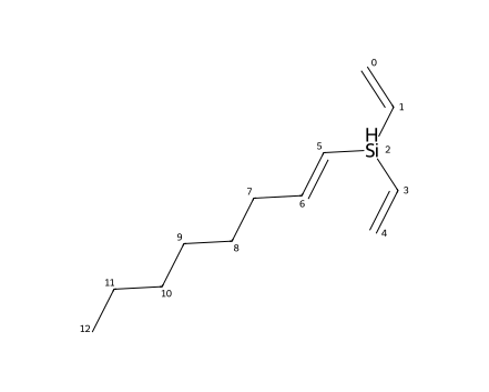 C=C[SiH](C=C)C=CCCCCCC